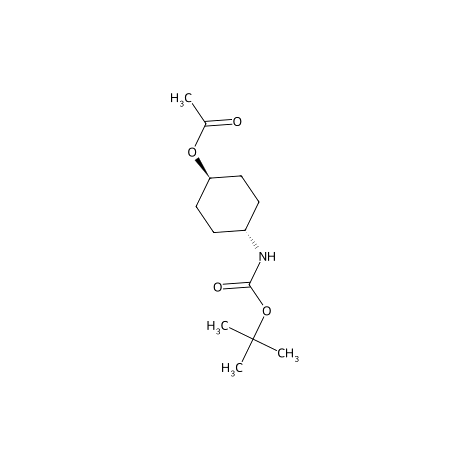 CC(=O)O[C@H]1CC[C@H](NC(=O)OC(C)(C)C)CC1